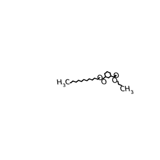 CCCCCCCCCCCCOC(=O)C1CCCC(C(=O)OCCCC)C1